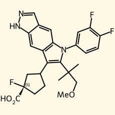 COCC(C)(C)c1c(C2CC[C@@](F)(C(=O)O)C2)c2cc3[nH]ncc3cc2n1-c1ccc(F)c(F)c1